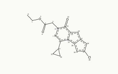 CCOC(=O)Cn1nc(C2CC2)n2c(cc3cc(Cl)sc32)c1=O